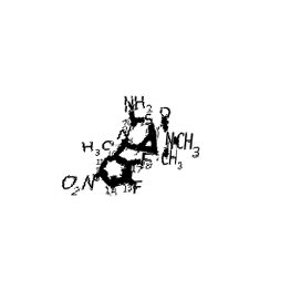 CN(C)C(=O)[C@]12CC1[C@@](C)(c1cc([N+](=O)[O-])cc(F)c1F)N=C(N)S2